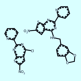 O=[N+]([O-])c1cc2c(Cl)nc(-c3ccccn3)nc2s1.O=[N+]([O-])c1cc2c(NCc3ccc4c(c3)OCO4)nc(-c3ccccn3)nc2s1